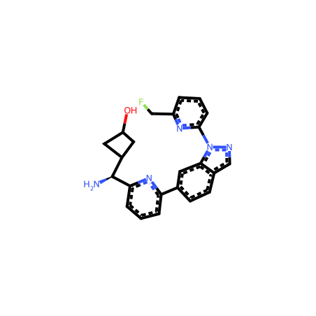 N[C@H](c1cccc(-c2ccc3cnn(-c4cccc(CF)n4)c3c2)n1)C1CC(O)C1